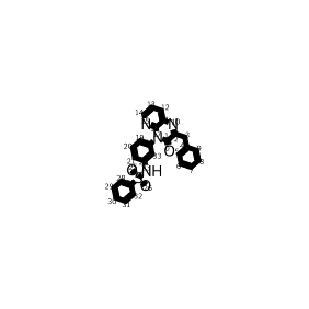 O=c1c(Cc2ccccc2)nc2cccnc2n1-c1cccc(NS(=O)(=O)c2ccccc2)c1